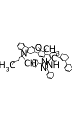 C#CC(CCCC)n1c2c(c3ccccc31)C=C1OC3C(C)C(C4=C(C5=NC(C6C=CC=CC6)=NC(C6=CC=CCC6)N5)CC(C5=CC(C6=CC=CCC6)CCC5)C=C4)C=CC3C1C2